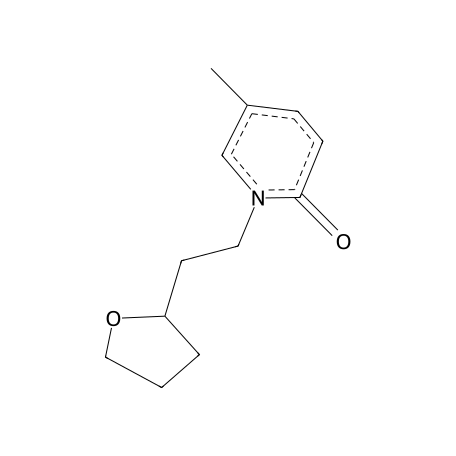 Cc1ccc(=O)n(CCC2CCCO2)c1